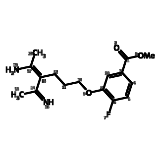 COC(=O)c1ccc(F)c(OCCC/C(C(C)=N)=C(\C)N)c1